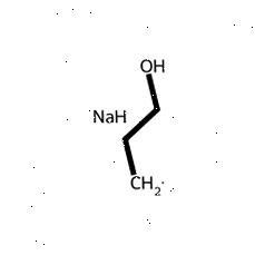 [CH2]CCO.[NaH]